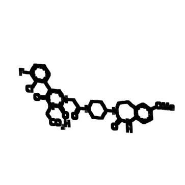 COc1ccc2c(c1)CCN(C1CCN(C(=O)Cn3cc(-c4cccc(F)c4Cl)c(=O)n(CC(=O)O)c3=O)CC1)C(=O)N2